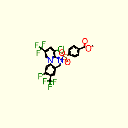 COC(=O)c1ccc(S(=O)(=O)N(Cc2ccc(F)c(C(F)(F)F)c2)c2ncc(C(F)(F)F)cc2Cl)cc1